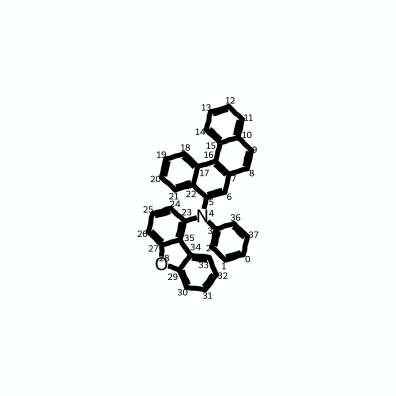 c1ccc(N(c2cc3ccc4ccccc4c3c3ccccc23)c2cccc3oc4ccccc4c23)cc1